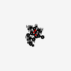 COc1ccc(C(C)(C)C)cc1Nc1ncnc2[nH]nc(-c3cccc(C(=O)Cc4cc(-c5ccccc5)cc(Nc5ncnc6[nH]nc(-c7cccc(C(=O)Cc8cc(-c9ccccc9)cc(Nc9ncnc%10[nH]nc(-c%11cccc(C(C)=O)c%11)c9%10)c8C)c7)c56)c4O)c3)c12